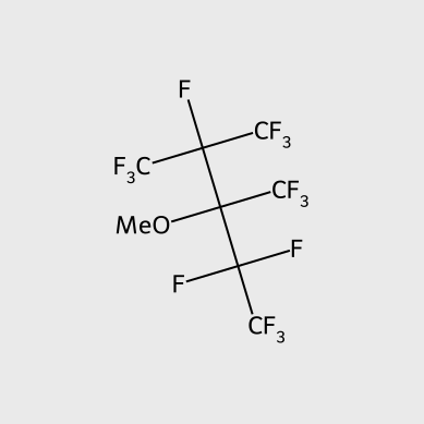 COC(C(F)(F)F)(C(F)(F)C(F)(F)F)C(F)(C(F)(F)F)C(F)(F)F